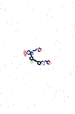 CS(=O)(=O)N1CCc2c(c(-c3ccc(Cl)c(C#Cc4cccc(CNCC5CCOCC5)c4)c3)nn2CCCN2CCOCC2)C1